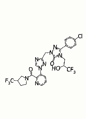 O=C(c1ncccc1-n1cnc(Cn2nc(-c3ccc(Cl)cc3)n(CC(O)C(F)(F)F)c2=O)n1)N1CCC(C(F)(F)F)C1